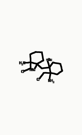 CCCCC1(CC2(CCCC)CCCCC2(N)CCl)CCCCC1(N)CCl